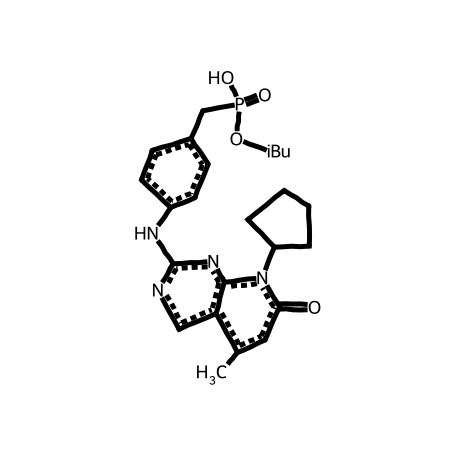 CCC(C)OP(=O)(O)Cc1ccc(Nc2ncc3c(C)cc(=O)n(C4CCCC4)c3n2)cc1